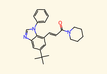 CC(C)(C)c1cc(C=CC(=O)N2CCCCC2)c2c(c1)ncn2-c1ccccc1